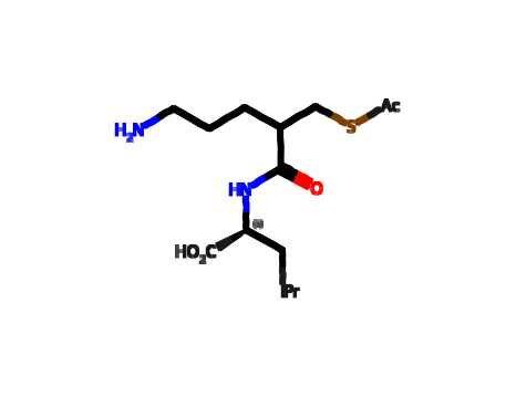 CC(=O)SCC(CCCN)C(=O)N[C@@H](CC(C)C)C(=O)O